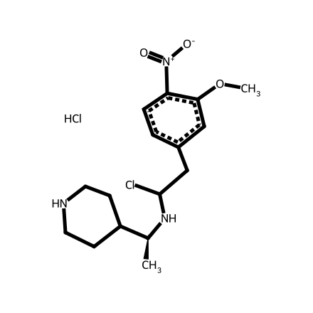 COc1cc(CC(Cl)N[C@@H](C)C2CCNCC2)ccc1[N+](=O)[O-].Cl